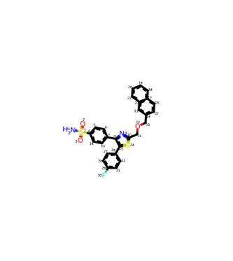 NS(=O)(=O)c1ccc(-c2nc(COCc3ccc4ccccc4c3)sc2-c2ccc(F)cc2)cc1